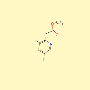 COC(=O)Cc1ncc(F)cc1F